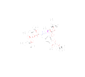 CCC(C)(C)OC(=O)Oc1ccc(C[C@H](N)C(=O)O[C@@H](C)C(C)OC(=O)OC(C)C(C)C)cc1OC(=O)OC(C)(C)CC